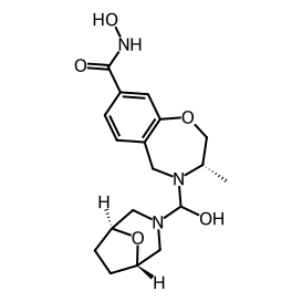 C[C@H]1COc2cc(C(=O)NO)ccc2CN1C(O)N1C[C@@H]2CC[C@@H](C1)O2